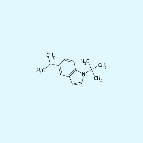 CC(C)c1ccc2c(ccn2C(C)(C)C)c1